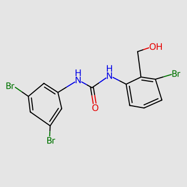 O=C(Nc1cc(Br)cc(Br)c1)Nc1cccc(Br)c1CO